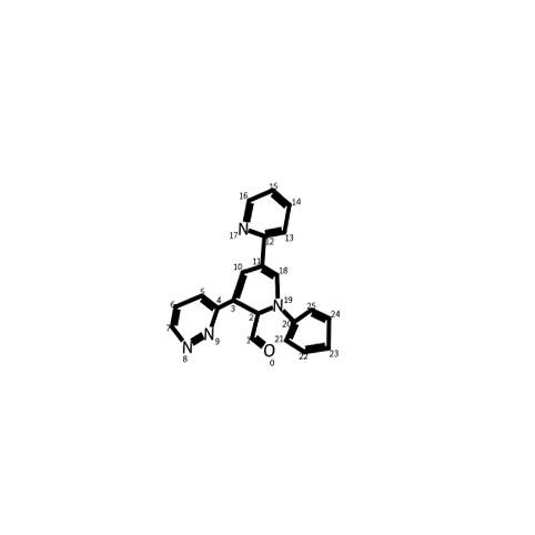 O=CC1C(c2cccnn2)=CC(c2ccccn2)=CN1c1ccccc1